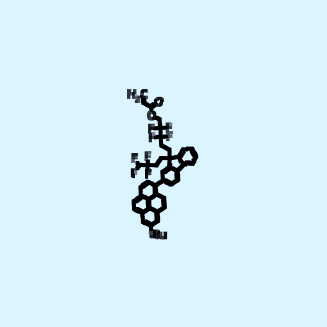 C=CC(=O)OCC(F)(F)C(F)(F)CCC1(CCC(F)(F)C(F)F)c2ccccc2-c2ccc(-c3ccc4ccc5cc(C(C)(C)C)cc6ccc3c4c56)cc21